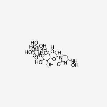 BC(C(=O)OC(O)C(O)C(OC(C)n1ccc(NO)nc1=O)C(O)O)(C(O)(O)O)C(O)(O)O